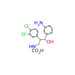 Nc1cccc(C(O)C(CNC(=O)O)c2ccc(Cl)c(Cl)c2)c1